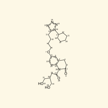 O=C1CCc2cc(OCCCCc3nnnn3C3CCCCC3)ccc2N1C(=O)CC(CO)CO